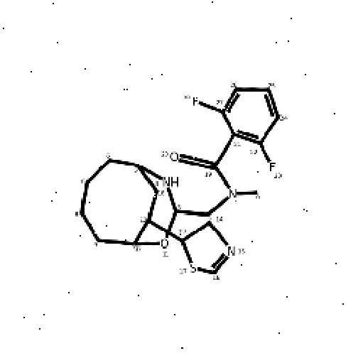 CN(CC1NC2CCCCC(O1)C(C1CN=CS1)C2)C(=O)c1c(F)cccc1F